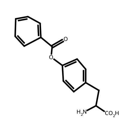 NC(Cc1ccc(OC(=O)c2ccccc2)cc1)C(=O)O